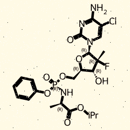 CC(C)OC(=O)[C@@H](C)N[P@@](=O)(OC[C@H]1O[C@@H](n2cc(Cl)c(N)nc2=O)[C@](C)(F)[C@@H]1O)Oc1ccccc1